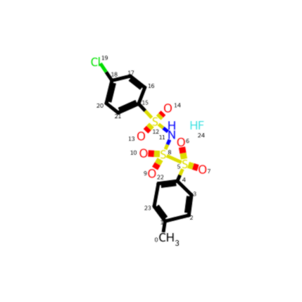 Cc1ccc(S(=O)(=O)S(=O)(=O)NS(=O)(=O)c2ccc(Cl)cc2)cc1.F